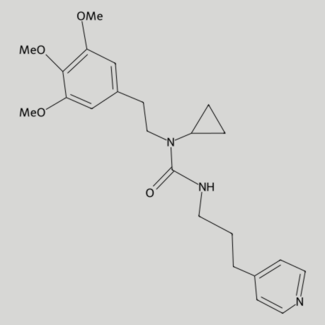 COc1cc(CCN(C(=O)NCCCc2ccncc2)C2CC2)cc(OC)c1OC